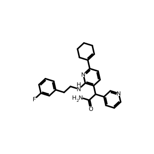 NC(=O)C(c1cccnc1)c1ccc(C2=CCCCC2)nc1NCCc1cccc(F)c1